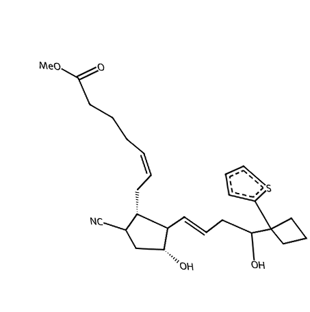 COC(=O)CCC/C=C\C[C@H]1C(C#N)C[C@@H](O)C1/C=C/CC(O)C1(c2cccs2)CCC1